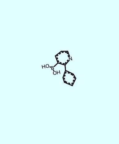 OB(O)c1cccnc1-c1ccccc1